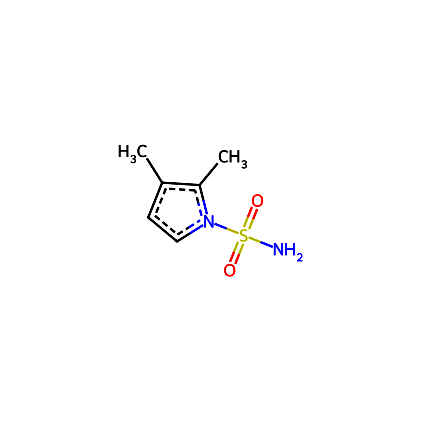 Cc1ccn(S(N)(=O)=O)c1C